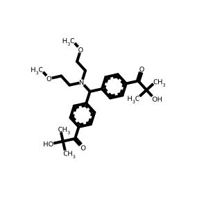 COCCN(CCOC)C(c1ccc(C(=O)C(C)(C)O)cc1)c1ccc(C(=O)C(C)(C)O)cc1